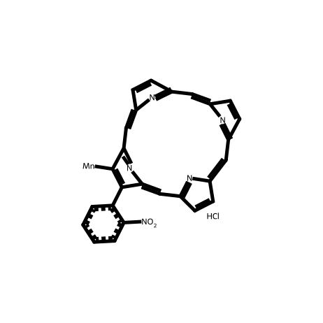 Cl.O=[N+]([O-])c1ccccc1C1=[C]([Mn])C2=NC1=CC1=NC(=CC3=NC(=CC4=NC(=C2)C=C4)C=C3)C=C1